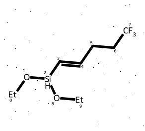 CCO[SiH](C=CCCC(F)(F)F)OCC